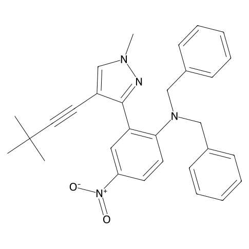 Cn1cc(C#CC(C)(C)C)c(-c2cc([N+](=O)[O-])ccc2N(Cc2ccccc2)Cc2ccccc2)n1